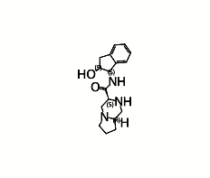 O=C(N[C@H]1c2ccccc2C[C@@H]1O)[C@@H]1CN2CCC[C@@H]2CN1